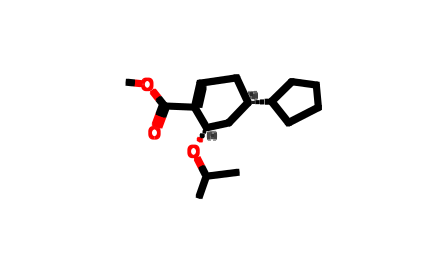 COC(=O)C1=CC[C@H](C2CCCC2)C[C@@H]1OC(C)C